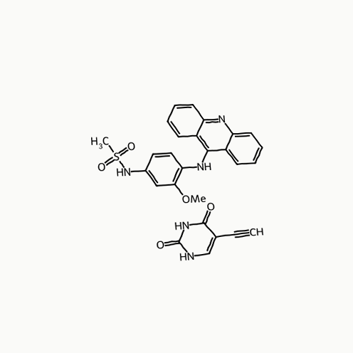 C#Cc1c[nH]c(=O)[nH]c1=O.COc1cc(NS(C)(=O)=O)ccc1Nc1c2ccccc2nc2ccccc12